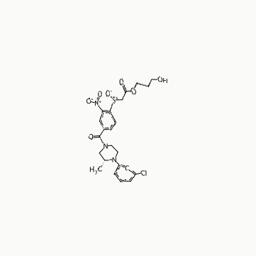 C[C@@H]1CN(C(=O)c2ccc([S+]([O-])CC(=O)OCCCO)c([N+](=O)[O-])c2)CCN1c1cccc(Cl)c1